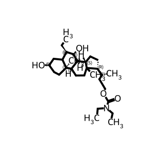 CC[C@@H]1C2C[C@H](O)CC[C@]2(C)[C@H]2CCC3(C)[C@@H]([C@H](C)CCOC(=O)N(CC)CC)CC[C@H]3[C@@H]2[C@@H]1O